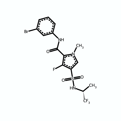 C[C@@H](NS(=O)(=O)c1cn(C)c(C(=O)Nc2cccc(Br)c2)c1F)C(F)(F)F